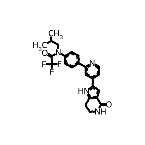 CC(C)CN(C(=O)C(F)(F)F)c1ccc(-c2cc(-c3cc4c([nH]3)CCNC4=O)ccn2)cc1